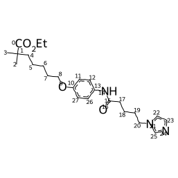 CCOC(=O)C(C)(C)CCCCCOc1ccc(NC(=O)CCCCn2ccnc2)cc1